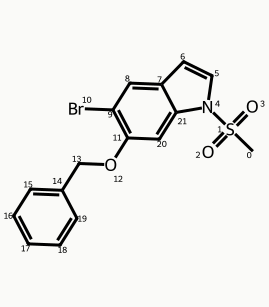 CS(=O)(=O)n1ccc2cc(Br)c(OCc3ccccc3)cc21